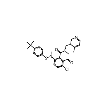 CC1=CC=NCC1CN(C)C(=O)c1c(NSc2ccc(C(C)(C)C)cc2)ccc(Cl)c1C=O